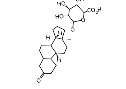 C[C@]12CC[C@H]3[C@@H](CCC4CC(=O)CC[C@@]43C)[C@@H]1CC[C@@H]2OC1O[C@H](C(=O)O)[C@@H](O)[C@H](O)[C@H]1O